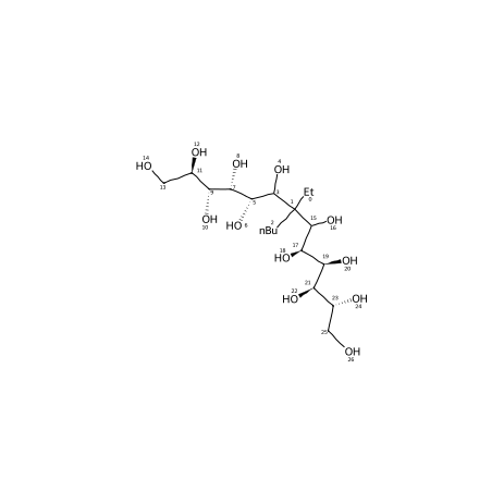 [CH2]CC(CCCC)(C(O)[C@H](O)[C@@H](O)[C@H](O)[C@H](O)CO)C(O)[C@H](O)[C@@H](O)[C@H](O)[C@H](O)CO